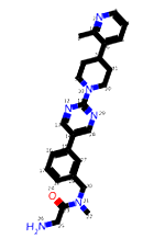 Cc1ncccc1C1CCN(c2ncc(-c3cccc(CN(C)C(=O)CN)c3)cn2)CC1